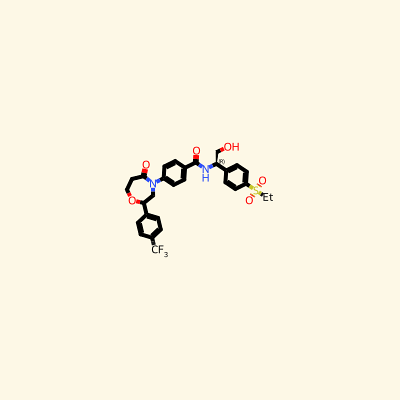 CCS(=O)(=O)c1ccc([C@H](CO)NC(=O)c2ccc(N3CC(c4ccc(C(F)(F)F)cc4)OCCC3=O)cc2)cc1